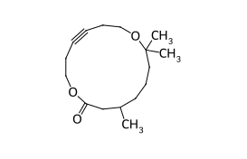 CC1CCCC(C)(C)OCCC#CCCOC(=O)C1